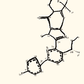 CCC1C(=O)C2=C(C=C1C(F)(F)F)N=C(c1nc(-c3ccc(F)cc3)ccc1[C@@H](C)CC)C2C